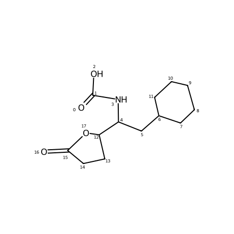 O=C(O)NC(CC1CCCCC1)C1CCC(=O)O1